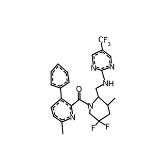 Cc1ccc(-c2ccccc2)c(C(=O)N2CC(F)(F)CC(C)C2CNc2ncc(C(F)(F)F)cn2)n1